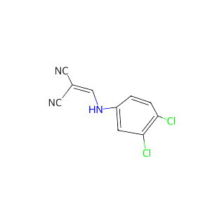 N#CC(C#N)=CNc1ccc(Cl)c(Cl)c1